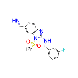 CC(C)S(=O)(=O)n1c(NCc2cccc(F)c2)nc2ccc(C=N)cc21